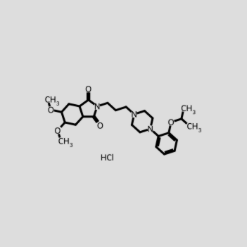 COC1CC2C(=O)N(CCCN3CCN(c4ccccc4OC(C)C)CC3)C(=O)C2CC1OC.Cl